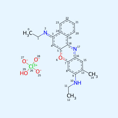 CCN=c1cc2oc3cc(NCC)c(C)cc3nc-2c2ccccc12.[O-][Cl+3]([O-])([O-])O